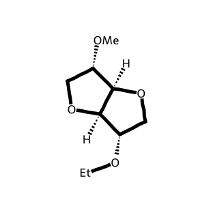 CCO[C@H]1CO[C@H]2[C@@H]1OC[C@@H]2OC